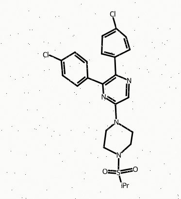 CC(C)S(=O)(=O)N1CCN(c2cnc(-c3ccc(Cl)cc3)c(-c3ccc(Cl)cc3)n2)CC1